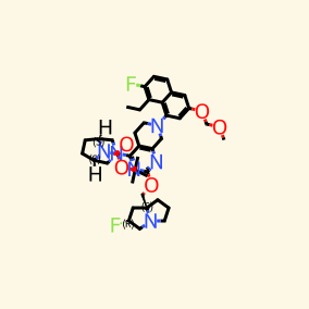 CCc1c(F)ccc2cc(OCOC)cc(N3CCc4c(nc(OC[C@@]56CCCN5C[C@H](F)C6)nc4N4C[C@@H]5CC[C@@H](C4)N5C(=O)OC(C)(C)C)C3)c12